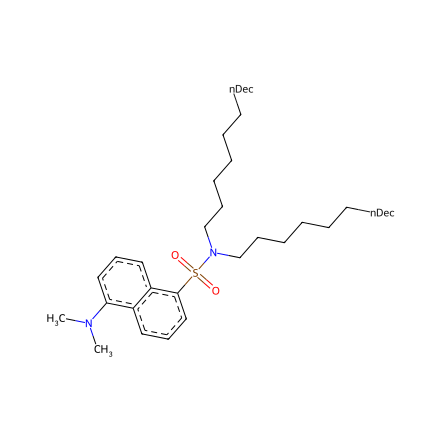 CCCCCCCCCCCCCCCCN(CCCCCCCCCCCCCCCC)S(=O)(=O)c1cccc2c(N(C)C)cccc12